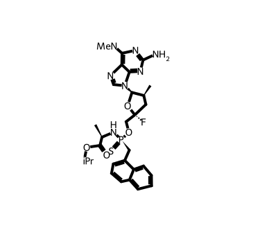 CNc1nc(N)nc2c1ncn2[C@@H]1O[C@](F)(CO[P@@](=S)(Cc2cccc3ccccc23)N[C@H](C)C(=O)OC(C)C)C[C@@H]1C